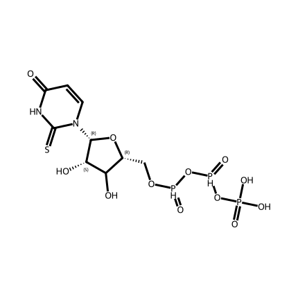 O=c1ccn([C@@H]2O[C@H](CO[PH](=O)O[PH](=O)OP(=O)(O)O)C(O)[C@@H]2O)c(=S)[nH]1